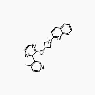 Cc1ccncc1-c1nccnc1OC1CN(c2ccc3ccccc3n2)C1